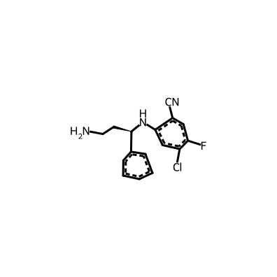 N#Cc1cc(F)c(Cl)cc1N[C@H](CCN)c1ccccc1